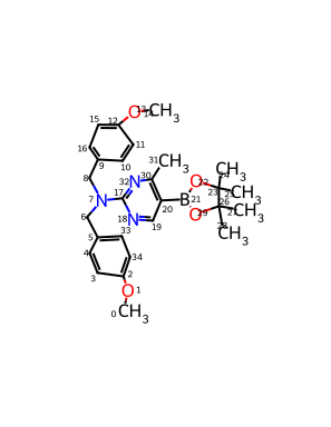 COc1ccc(CN(Cc2ccc(OC)cc2)c2ncc(B3OC(C)(C)C(C)(C)O3)c(C)n2)cc1